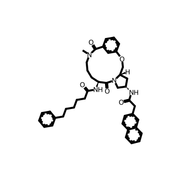 CN1CCC[C@H](NC(=O)CCCCCc2ccccc2)C(=O)N2C[C@@H](NC(=O)Cc3ccc4ccccc4c3)C[C@H]2COc2cccc(c2)C1=O